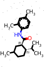 Cc1ccc(NC(=O)[C@@H]2CC(C)CC[C@H]2C(C)C)c(C)c1